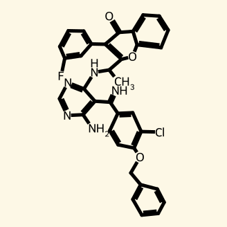 CC(Nc1ncnc(N)c1C(=N)c1ccc(OCc2ccccc2)c(Cl)c1)c1oc2ccccc2c(=O)c1-c1cccc(F)c1